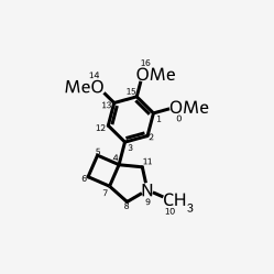 COc1cc(C23CCC2CN(C)C3)cc(OC)c1OC